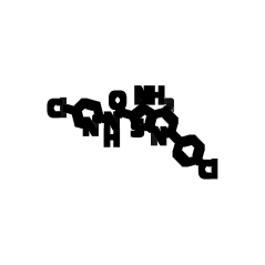 Nc1c(C(=O)Nc2ccc(Cl)cn2)sc2nc(-c3ccc(Cl)cc3)ccc12